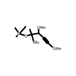 CCCCC(C)(O[Si](C)(C)C)C(C#COC)OC